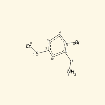 CCSc1ccc(Br)c(CN)c1